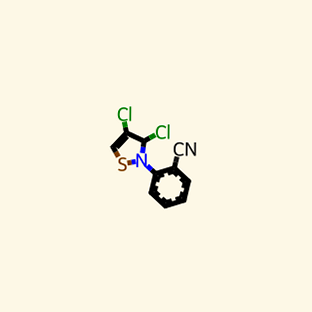 N#Cc1ccccc1N1SC=C(Cl)C1Cl